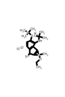 CCO[Si]1(C)C2=C1[CH]([Ti+2])c1ccc(O[Si](C)(C)C)c(NC(C)(C)C)c12.[Cl-].[Cl-]